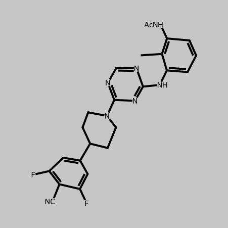 CC(=O)Nc1cccc(Nc2ncnc(N3CCC(c4cc(F)c(C#N)c(F)c4)CC3)n2)c1C